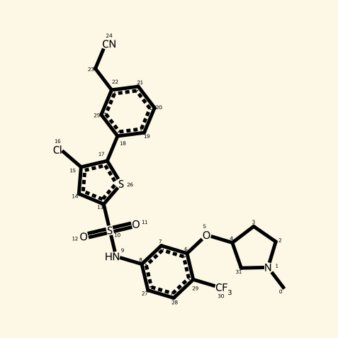 CN1CCC(Oc2cc(NS(=O)(=O)c3cc(Cl)c(-c4cccc(CC#N)c4)s3)ccc2C(F)(F)F)C1